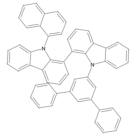 c1ccc(-c2cc(-c3ccccc3)cc(-n3c4ccccc4c4cccc(-c5cccc6c7ccccc7n(-c7cccc8ccccc78)c56)c43)c2)cc1